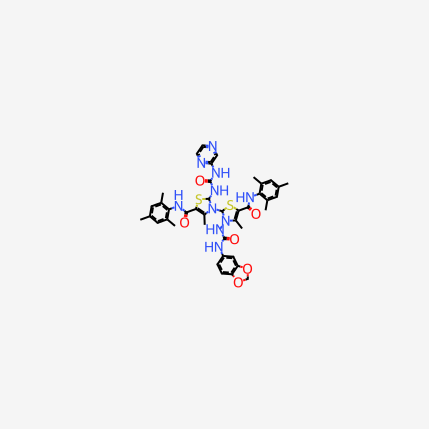 CC1=C(C(=O)Nc2c(C)cc(C)cc2C)SC(N2C(C)=C(C(=O)Nc3c(C)cc(C)cc3C)SC2NC(=O)Nc2cnccn2)N1NC(=O)Nc1ccc2c(c1)OCO2